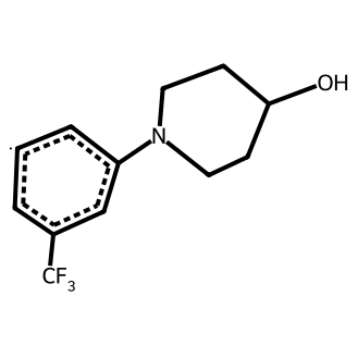 OC1CCN(c2c[c]cc(C(F)(F)F)c2)CC1